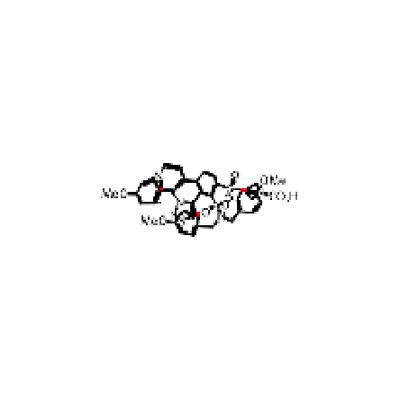 COc1ccc(CN(Cc2ccc(OC)cc2)S(=O)(=O)c2c(S(=O)(=O)C3CN(C(=O)O)C3)ccc(-c3ccnc(Cl)c3)c2-c2nnnn2Cc2ccc(OC)cc2)cc1